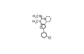 C/N=C(\SC)N1CCCCC1c1cc(-c2cccc(Cl)c2)on1